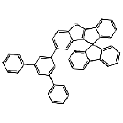 c1ccc(-c2cc(-c3ccccc3)cc(-c3ccc4oc5c(c4c3)C3(c4ccccc4-c4ccccc43)c3ccccc3-5)c2)cc1